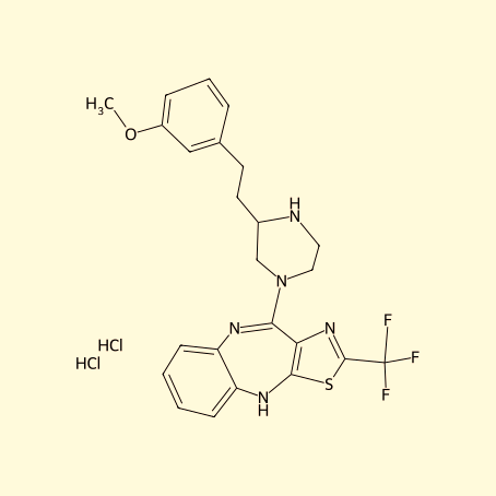 COc1cccc(CCC2CN(C3=Nc4ccccc4Nc4sc(C(F)(F)F)nc43)CCN2)c1.Cl.Cl